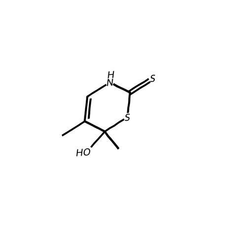 CC1=CNC(=S)SC1(C)O